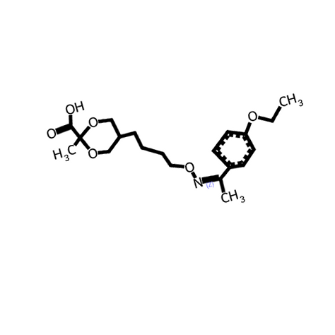 CCOc1ccc(/C(C)=N\OCCCCC2COC(C)(C(=O)O)OC2)cc1